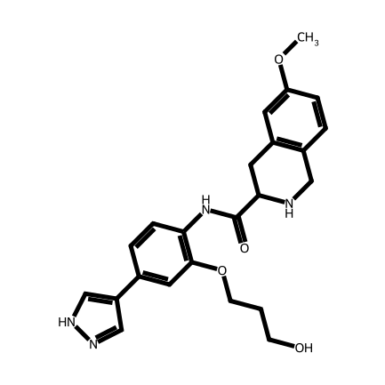 COc1ccc2c(c1)CC(C(=O)Nc1ccc(-c3cn[nH]c3)cc1OCCCO)NC2